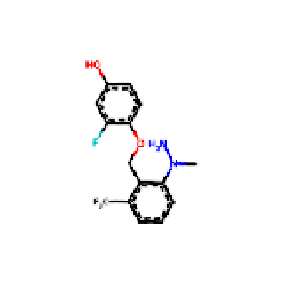 CN(N)c1cccc(C(F)(F)F)c1COc1ccc(O)cc1F